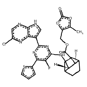 Cc1oc(=O)oc1COC(=O)[C@H]1C2CCC(CC2)[C@@H]1Nc1nc(-c2c[nH]c3ncc(Cl)nc23)nc(-c2cccs2)c1F